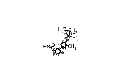 Cc1nc(-c2cc(NC(=O)O)ncc2F)ccc1OCC(C)(N)CC(C)C